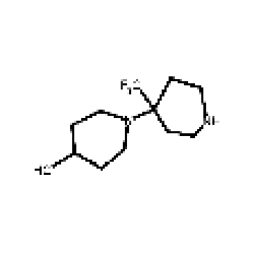 OC1CCN(C2(C(F)(F)F)CCNCC2)CC1